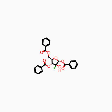 O=C(OC[C@H]1O[C@H](OC(=O)c2ccccc2)[C@](O)(F)[C@@H]1OC(=O)c1ccccc1)c1ccccc1